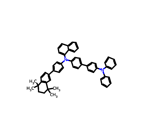 CC1(C)CCC(C)(C)c2cc(-c3ccc(N(c4ccc(-c5ccc(N(c6ccccc6)c6ccccc6)cc5)cc4)c4cccc5ccccc45)cc3)ccc21